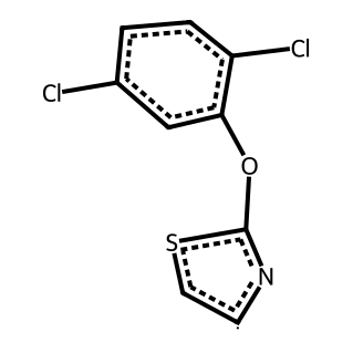 Clc1ccc(Cl)c(Oc2n[c]cs2)c1